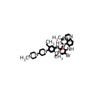 CCc1cc(Nc2ncc(Br)c(Nc3ccc4nccnc4c3N(C)SC(C)C)n2)c(OC)cc1N1CCC(N2CCN(C)CC2)CC1